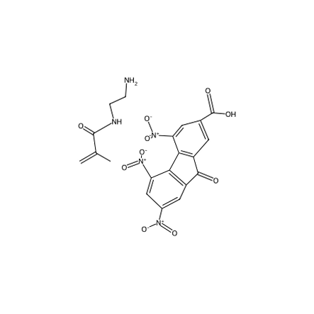 C=C(C)C(=O)NCCN.O=C(O)c1cc2c(c([N+](=O)[O-])c1)-c1c(cc([N+](=O)[O-])cc1[N+](=O)[O-])C2=O